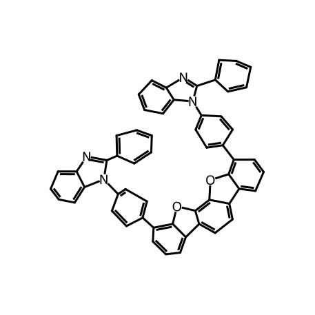 c1ccc(-c2nc3ccccc3n2-c2ccc(-c3cccc4c3oc3c4ccc4c5cccc(-c6ccc(-n7c(-c8ccccc8)nc8ccccc87)cc6)c5oc43)cc2)cc1